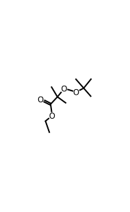 CCOC(=O)C(C)(C)OOC(C)(C)C